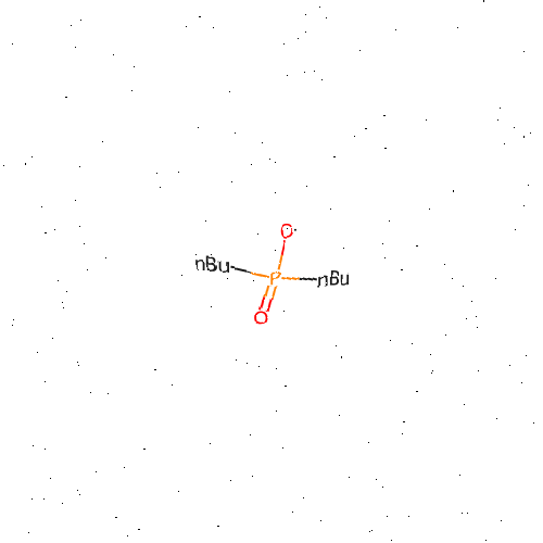 CCCCP([O])(=O)CCCC